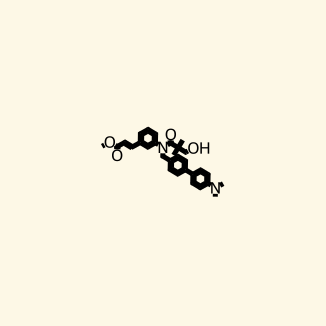 COC(=O)/C=C/c1cccc(N(Cc2ccc(-c3ccc(N(C)C)cc3)cc2)C(=O)C(C)(C)CO)c1